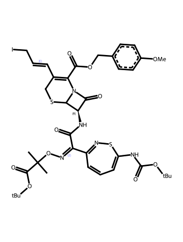 COc1ccc(COC(=O)C2=C(/C=C/CI)CSC3[C@H](NC(=O)/C(=N\OC(C)(C)C(=O)OC(C)(C)C)C4=NSC(NC(=O)OC(C)(C)C)=CC=C4)C(=O)N23)cc1